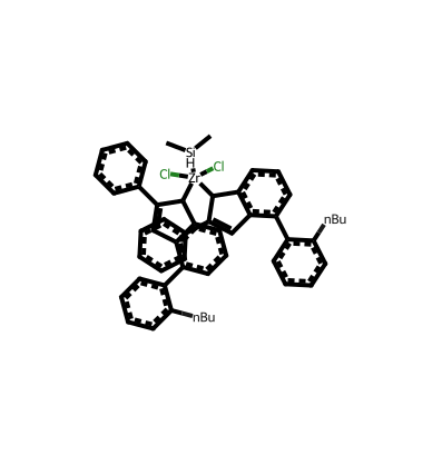 CCCCc1ccccc1-c1cccc2c1C=C(c1ccccc1)[CH]2[Zr]([Cl])([Cl])([CH]1C(c2ccccc2)=Cc2c(-c3ccccc3CCCC)cccc21)[SiH](C)C